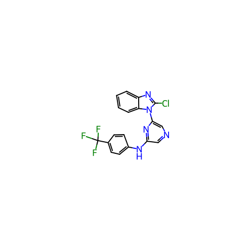 FC(F)(F)c1ccc(Nc2cncc(-n3c(Cl)nc4ccccc43)n2)cc1